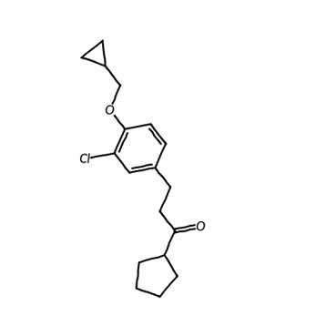 O=C(CCc1ccc(OCC2CC2)c(Cl)c1)C1CCCC1